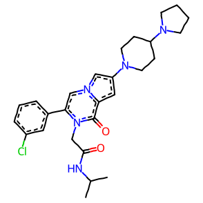 CC(C)NC(=O)Cn1c(-c2cccc(Cl)c2)cn2cc(N3CCC(N4CCCC4)CC3)cc2c1=O